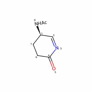 CC(=O)N[C@H]1C=NC(=O)CC1